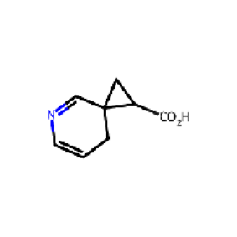 O=C(O)C1CC12C=NC=CC2